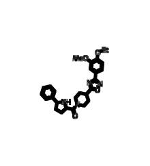 CCOc1ccc(-c2noc(C3CCN(C(=O)C4CCC(c5ccccc5)N4)CC3)n2)cc1OC